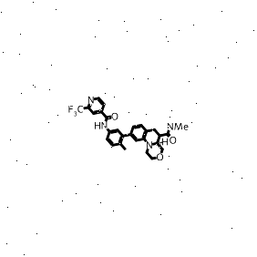 CNC(=O)C1Cc2ccc(-c3cc(NC(=O)c4ccnc(C(F)(F)F)c4)ccc3C)cc2N2CCOC[C@H]12